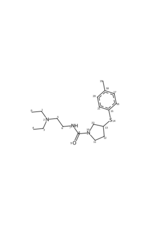 CCN(CC)CCNC(=O)N1CCC(Sc2ccc(C)cc2)C1